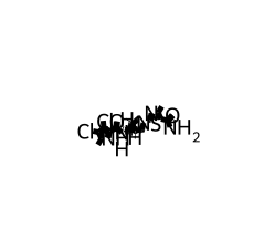 Cc1nc(N2C[C@@H]3[C@H](C2)[C@@H]3NC(=O)c2[nH]c(C)c(Cl)c2Cl)sc1C(N)=O